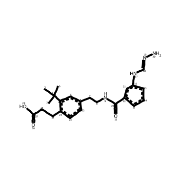 CC(C)(C)c1cc(CCNC(=O)c2cccc(NC=NN)c2)ccc1CCC(=O)O